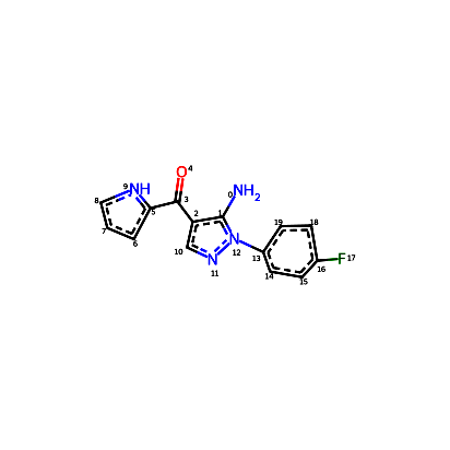 Nc1c(C(=O)c2ccc[nH]2)cnn1-c1ccc(F)cc1